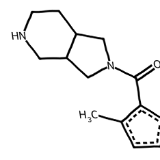 Cc1ccoc1C(=O)N1CC2CCNCC2C1